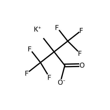 CC(C(=O)[O-])(C(F)(F)F)C(F)(F)F.[K+]